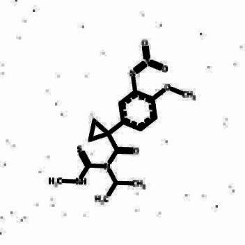 CNC(=S)N(C(=O)C1(c2ccc(OC)c(N=S(=O)=O)c2)CC1)C(C)C